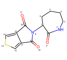 O=C1NCCCCC1N1C(=O)c2cscc2C1=O